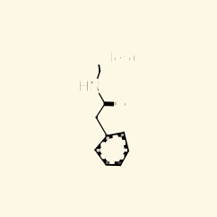 CCCCCCCCNC(=O)Cc1ccccc1